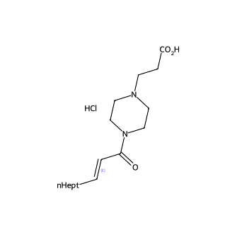 CCCCCCC/C=C/C(=O)N1CCN(CCC(=O)O)CC1.Cl